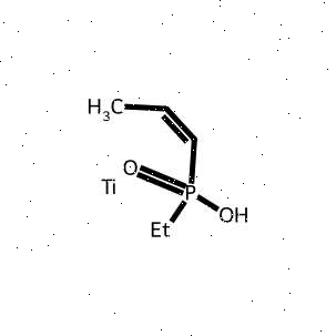 C/C=C\P(=O)(O)CC.[Ti]